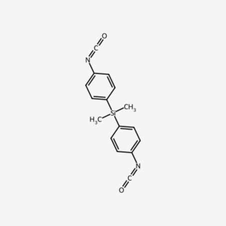 C[Si](C)(c1ccc(N=C=O)cc1)c1ccc(N=C=O)cc1